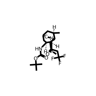 CO[C@@H]1C2[C@H](C)CC(C[C@@H]1NC(=O)OC(C)(C)C)CN2C(=O)CC(F)(F)F